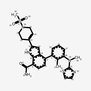 Cc1c(-c2ccc(C(N)=O)c3[nH]c(C4=CCN(S(C)(=O)=O)CC4)cc23)cccc1N(C)c1nccs1